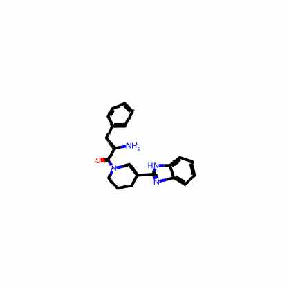 NC(Cc1ccccc1)C(=O)N1CCCC(c2nc3ccccc3[nH]2)C1